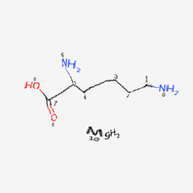 NCCCCC(N)C(=O)O.[MgH2]